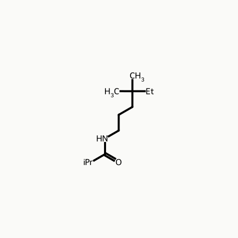 CCC(C)(C)CCCNC(=O)C(C)C